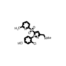 CNCc1cc(S(=O)(=O)c2cccc(C)n2)n(-c2ccccc2Cl)n1.Cl